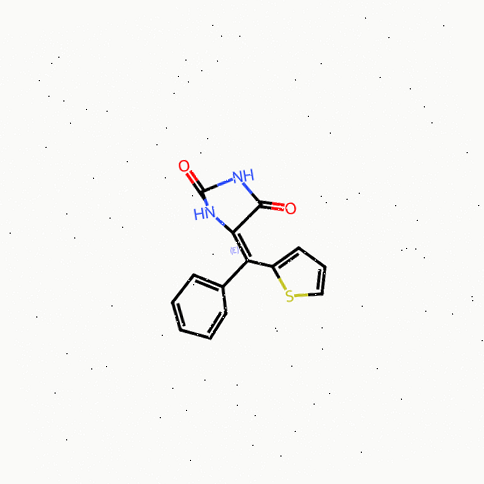 O=C1NC(=O)/C(=C(/c2ccccc2)c2cccs2)N1